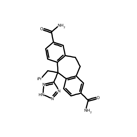 CC(C)CC1(c2nn[nH]n2)c2ccc(C(N)=O)cc2CCc2cc(C(N)=O)ccc21